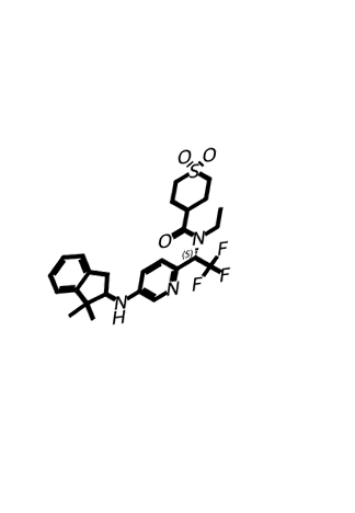 CCN(C(=O)C1CCS(=O)(=O)CC1)[C@@H](c1ccc(NC2Cc3ccccc3C2(C)C)cn1)C(F)(F)F